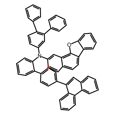 c1ccc(-c2ccc(N(c3ccc4ccc5c6ccccc6oc5c4c3)c3ccccc3-c3ccc(-c4cc5ccccc5c5ccccc45)cc3)cc2-c2ccccc2)cc1